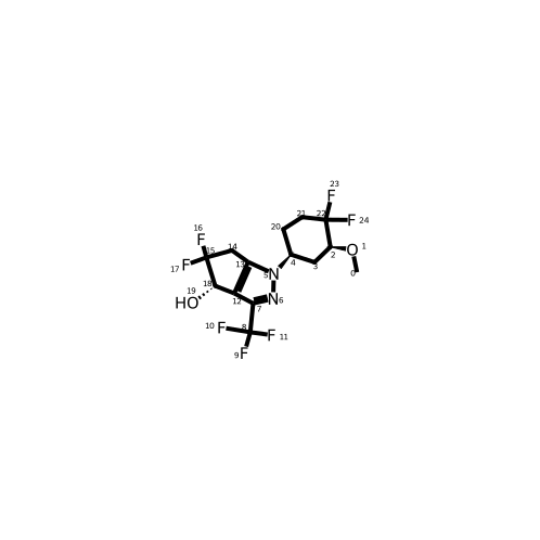 CO[C@H]1C[C@@H](n2nc(C(F)(F)F)c3c2CC(F)(F)[C@H]3O)CCC1(F)F